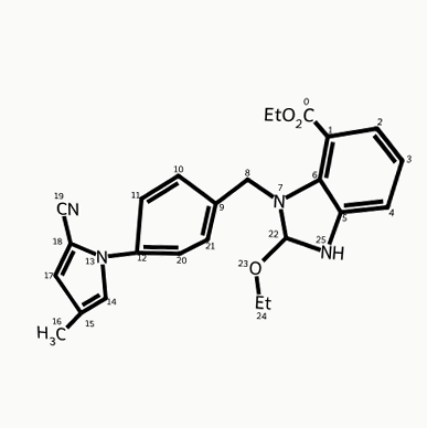 CCOC(=O)c1cccc2c1N(Cc1ccc(-n3cc(C)cc3C#N)cc1)C(OCC)N2